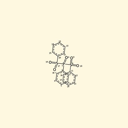 O=P(c1ccccc1)(S(=O)(=O)c1ccccc1)S(=O)(=O)c1ccccc1